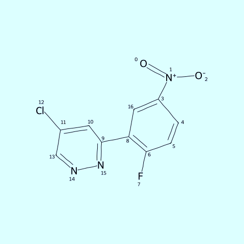 O=[N+]([O-])c1ccc(F)c(-c2cc(Cl)cnn2)c1